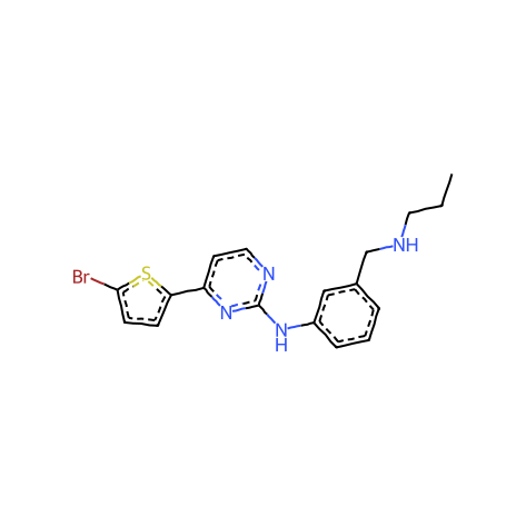 CCCNCc1cccc(Nc2nccc(-c3ccc(Br)s3)n2)c1